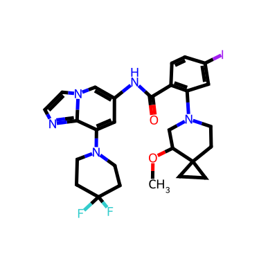 COC1CN(c2cc(I)ccc2C(=O)Nc2cc(N3CCC(F)(F)CC3)c3nccn3c2)CCC12CC2